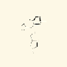 O[C@@H]1CNC(CN[C@@H](c2cc(F)c(Cl)cc2F)C2COC2)C1